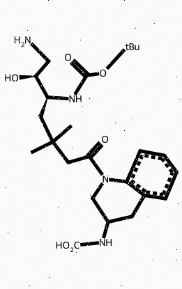 CC(C)(CC(=O)N1CC(NC(=O)O)Cc2ccccc21)C[C@H](NC(=O)OC(C)(C)C)[C@@H](O)CN